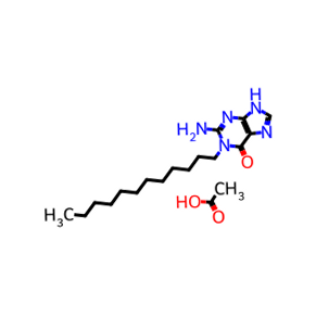 CC(=O)O.CCCCCCCCCCCCn1c(N)nc2[nH]cnc2c1=O